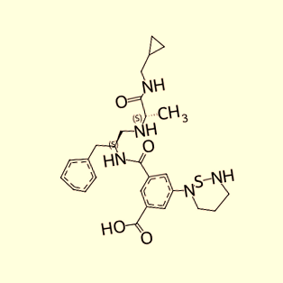 C[C@H](NC[C@H](Cc1ccccc1)NC(=O)c1cc(C(=O)O)cc(N2CCCNS2)c1)C(=O)NCC1CC1